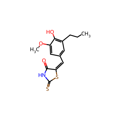 CCCc1cc(C=C2SC(=S)NC2=O)cc(OC)c1O